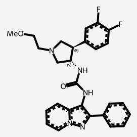 COCCN1C[C@@H](NC(=O)Nc2c(-c3ccccc3)nn3ccccc23)[C@H](c2ccc(F)c(F)c2)C1